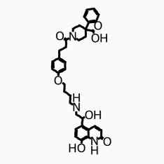 O=C(CCc1ccc(OCCCCNCC(O)c2ccc(O)c3[nH]c(=O)ccc23)cc1)N1CCC(C(=O)O)(c2ccccc2)CC1